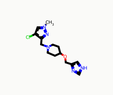 Cn1cc(Cl)c(CN2CCC(OCc3c[nH]cn3)CC2)n1